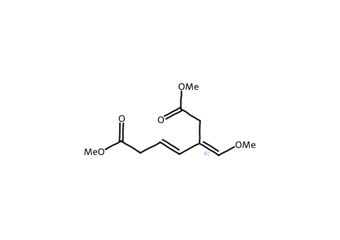 CO/C=C(/C=CCC(=O)OC)CC(=O)OC